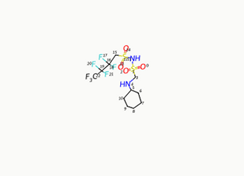 O=S(=O)(CNC1CCCCC1)NS(=O)(=O)CC(F)(F)C(F)(F)C(F)(F)F